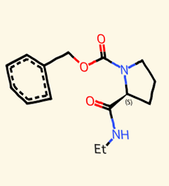 CCNC(=O)[C@@H]1CCCN1C(=O)OCc1ccccc1